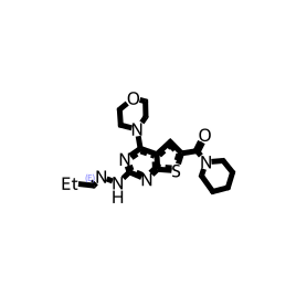 CC/C=N/Nc1nc(N2CCOCC2)c2cc(C(=O)N3CCCCC3)sc2n1